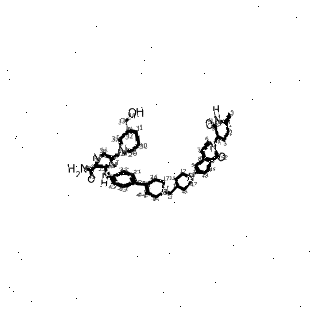 C=C1CCC(n2ccc3cc(N4CCC(CN5CCC(c6ccc(Nc7nc(N8CCC[C@@H](CO)C8)cnc7C(N)=O)cc6)CC5)CC4)ccc3c2=O)C(=O)N1